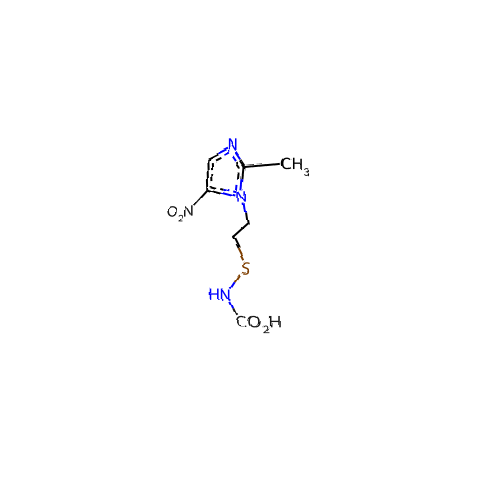 Cc1ncc([N+](=O)[O-])n1CCSNC(=O)O